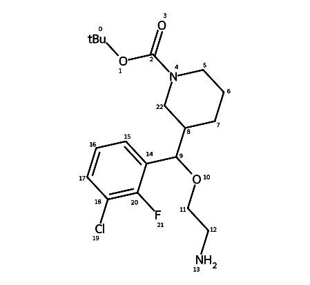 CC(C)(C)OC(=O)N1CCCC(C(OCCN)c2cccc(Cl)c2F)C1